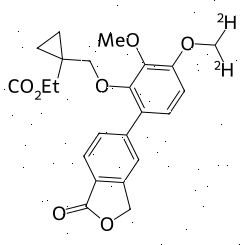 [2H]C([2H])Oc1ccc(-c2ccc3c(c2)COC3=O)c(OCC2(C(=O)OCC)CC2)c1OC